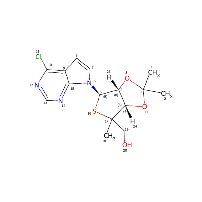 CC1(C)O[C@H]2[C@H](n3ccc4c(Cl)ncnc43)SC(C)(CO)[C@H]2O1